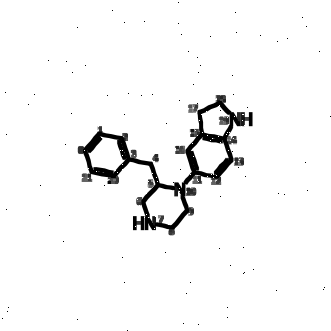 c1ccc(CC2CNCCN2c2ccc3c(c2)CCN3)cc1